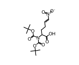 CC(C)(C)OC(=O)N(C(=O)OC(C)(C)C)C(CCC=C[N+](=O)[O-])C(=O)O